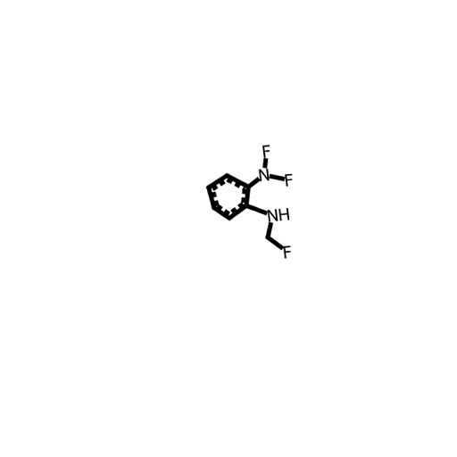 FCNc1ccccc1N(F)F